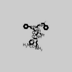 CC(C)C[C@@H](NC(=O)[C@@H](CCc1ccccc1)NC(=O)CNC[C@H](C)c1ccccc1)C(=O)N[C@H](CCCCN)C(=O)N1CCC(N)(C(=O)O)CC1